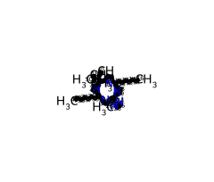 C#CC(C1=C2C=CC(=N2)C(CCCCCCC)=C2C=CC(=N2)C(c2nccn2C)=C2C=CC(=N2)C(CCCCCCC)=C2C=CC1=N2)[Si](C)(C)C